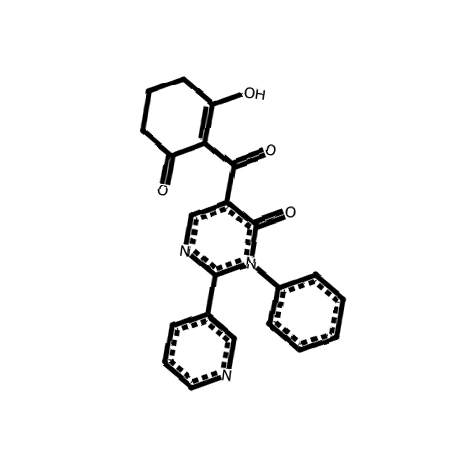 O=C1CCCC(O)=C1C(=O)c1cnc(-c2cccnc2)n(-c2ccccc2)c1=O